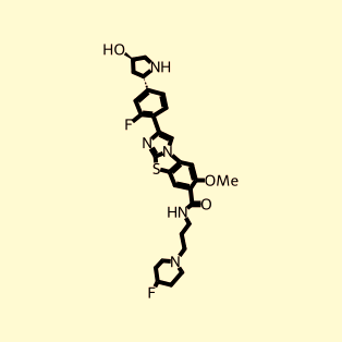 COc1cc2c(cc1C(=O)NCCCN1CCC(F)CC1)sc1nc(-c3ccc([C@@H]4C[C@@H](O)CN4)cc3F)cn12